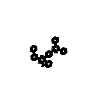 c1ccc(-c2cccc(-c3nc(-c4ccc(-c5nc(-c6ccccc6)cc(-c6ccccc6)n5)cc4)c4c(n3)sc3ccccc34)c2)cc1